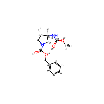 C[C@H]1CN(C(=O)OCc2ccccc2)C[C@]1(C)NC(=O)OC(C)(C)C